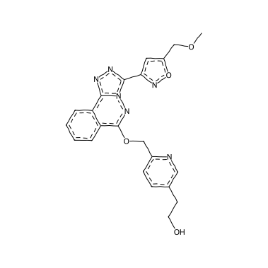 COCc1cc(-c2nnc3c4ccccc4c(OCc4ccc(CCO)cn4)nn23)no1